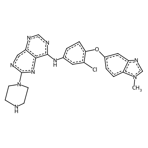 Cn1cnc2cc(Oc3ccc(Nc4ncnc5cnc(N6CCNCC6)nc45)cc3Cl)ccc21